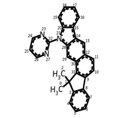 CC1(C)c2ccccc2-c2ccc3cc4c5ccccc5n(-c5ncccn5)c4cc3c21